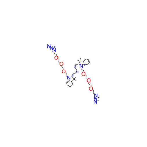 CC1(C)C(\C=C/C=C\C=C2\N(CCOCCOCCOCCN=[N+]=[N-])c3ccccc3C2(C)C)=[N+](CCOCCOCCOCCN=[N+]=[N-])c2ccccc21